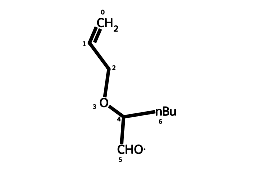 C=CCOC([C]=O)CCCC